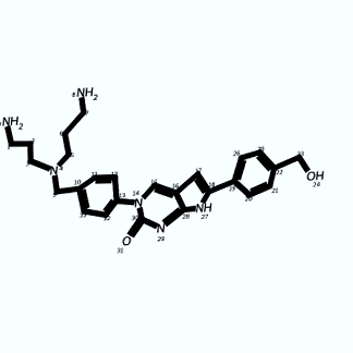 NCCCN(CCCN)Cc1ccc(-n2cc3cc(-c4ccc(CO)cc4)[nH]c3nc2=O)cc1